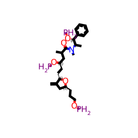 C=C1C[C@H](CCCOP)O[C@H]1CC[C@H](CC(C)C(=O)N(C)C(C)[C@H](OP)c1ccccc1)OP